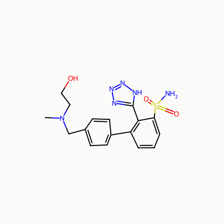 CN(CCO)Cc1ccc(-c2cccc(S(N)(=O)=O)c2-c2nnn[nH]2)cc1